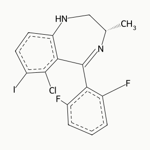 C[C@H]1CNc2ccc(I)c(Cl)c2C(c2c(F)cccc2F)=N1